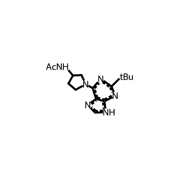 CC(=O)NC1CCN(c2nc(C(C)(C)C)nc3[nH]cnc23)C1